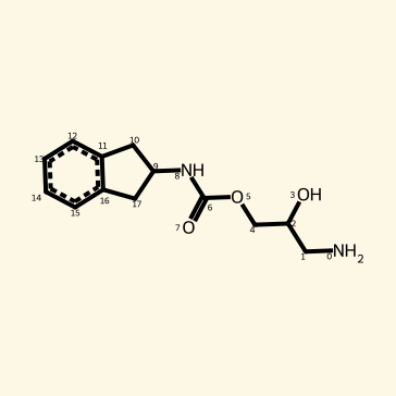 NCC(O)COC(=O)NC1Cc2ccccc2C1